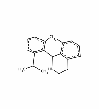 CC(C)c1cccc(Cl)c1C1NCCc2cccc(Cl)c21